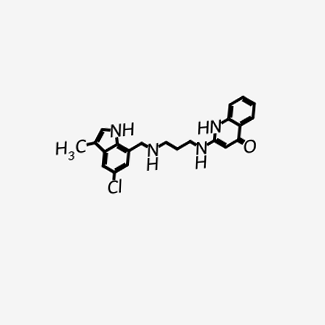 Cc1c[nH]c2c(CNCCCNc3cc(=O)c4ccccc4[nH]3)cc(Cl)cc12